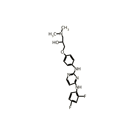 CN(C)CC(O)COc1ccc(Nc2nccc(Nc3ccc(F)cc3F)n2)cc1